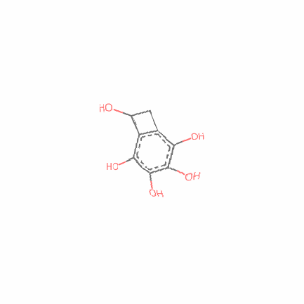 Oc1c(O)c(O)c2c(c1O)CC2O